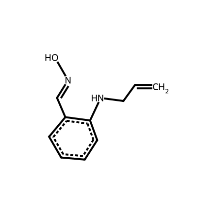 C=CCNc1ccccc1C=NO